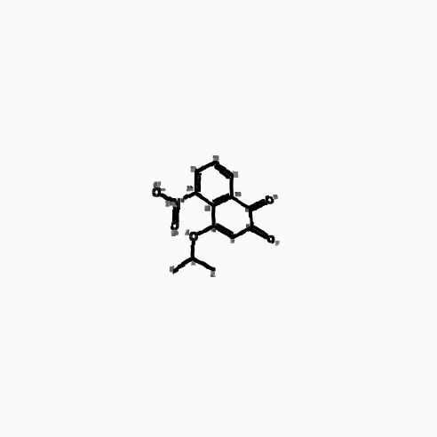 CC(C)OC1=CC(=O)C(=O)c2cccc([N+](=O)[O-])c21